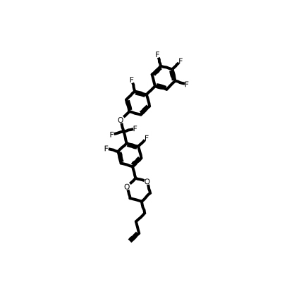 C=CCCC1COC(c2cc(F)c(C(F)(F)Oc3ccc(-c4cc(F)c(F)c(F)c4)c(F)c3)c(F)c2)OC1